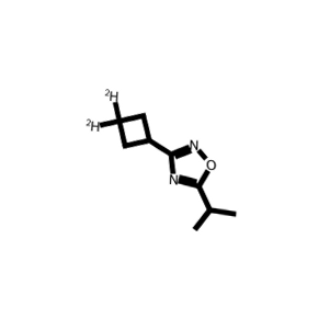 [2H]C1([2H])CC(c2noc(C(C)C)n2)C1